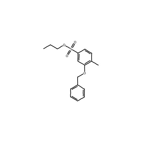 CCCOS(=O)(=O)c1ccc(C)c(OCc2ccccc2)c1